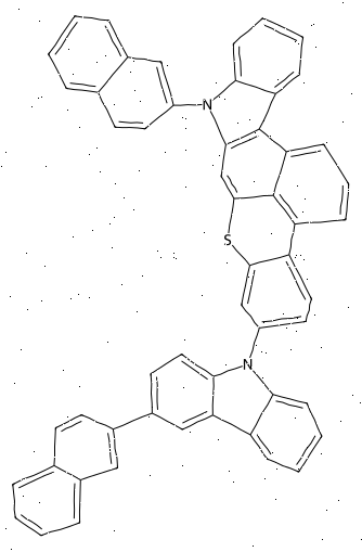 c1ccc2cc(-c3ccc4c(c3)c3ccccc3n4-c3ccc4c(c3)Sc3cc5c(c6cccc-4c36)c3ccccc3n5-c3ccc4ccccc4c3)ccc2c1